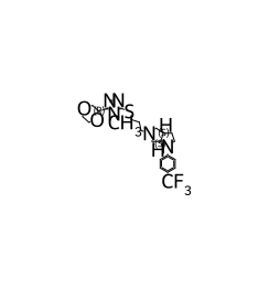 Cn1c(SCCCN2C[C@@H]3CCN(c4ccc(C(F)(F)F)cc4)[C@@H]3C2)nnc1[C@@H]1COCCO1